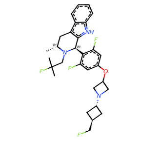 C[C@@H]1Cc2c([nH]c3ccccc23)[C@@H](c2c(F)cc(OC3CN([C@H]4C[C@H](CF)C4)C3)cc2F)N1CC(C)(C)F